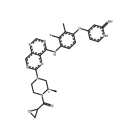 Cc1c(Oc2cc[nH]c(=N)c2)ccc(Nc2ncnc3cnc(N4CCN(C(=O)C5CO5)[C@H](C)C4)nc23)c1F